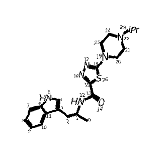 CC(Cc1c[nH]c2ccccc12)NC(=O)c1nnc(N2CCN(C(C)C)CC2)s1